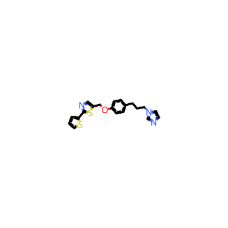 c1csc(-c2ncc(COc3ccc(CCCn4ccnc4)cc3)s2)c1